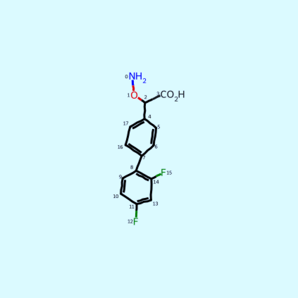 NOC(C(=O)O)c1ccc(-c2ccc(F)cc2F)cc1